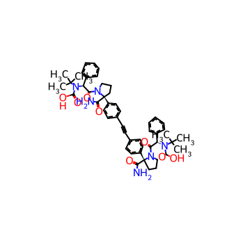 CC(C)(C)N(C(=O)O)[C@H](C(=O)N1CCC[C@@]1(C(N)=O)c1ccc(C#Cc2ccc([C@]3(C(N)=O)CCCN3C(=O)[C@H](c3ccccc3)N(C(=O)O)C(C)(C)C)cc2)cc1)c1ccccc1